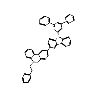 c1ccc(CCC2Cc3ccc(-c4ccc5c(c4)c4ccccc4n5-c4cc(-c5ccccc5)cc(-c5ccccc5)n4)cc3-c3ccccc32)cc1